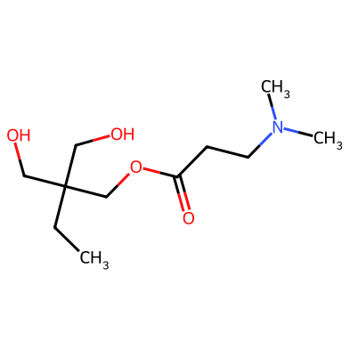 CCC(CO)(CO)COC(=O)CCN(C)C